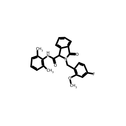 COc1cc(F)ccc1CN1C(=O)c2ccccc2C1C(=O)Nc1c(C)cccc1C